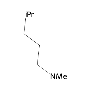 [CH2]NCCCC(C)C